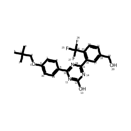 CC(C)(C)COc1ccc(-c2nc(O)nc(-c3cc(CO)ccc3C(F)(F)F)n2)cc1